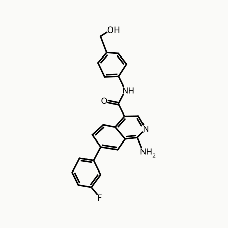 Nc1ncc(C(=O)Nc2ccc(CO)cc2)c2ccc(-c3cccc(F)c3)cc12